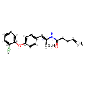 C=CCCC(=O)N/C(=C/c1ccc(Oc2ccccc2Br)cc1)C(=O)O